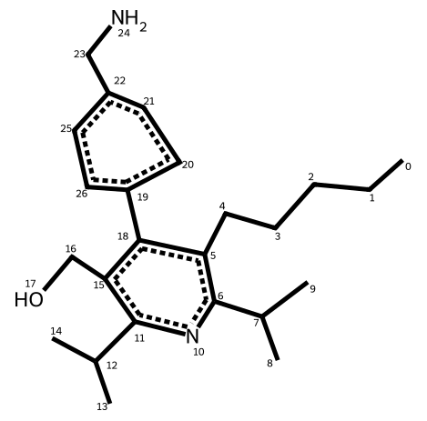 CCCCCc1c(C(C)C)nc(C(C)C)c(CO)c1-c1ccc(CN)cc1